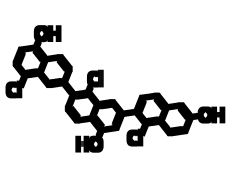 Oc1ccc2c(Cl)c(-c3cc(O)c4ccc(-c5ccc6c(O)ccc(Cl)c6c5)c(Cl)c4c3)ccc2c1